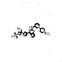 CCS(=O)(=O)N1CC(CC#N)(n2cc(-c3nc(NC4=CN(C5CCN(C)CC5)C=C=C4)nc4ccsc34)cn2)C1